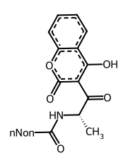 CCCCCCCCCC(=O)N[C@@H](C)C(=O)c1c(O)c2ccccc2oc1=O